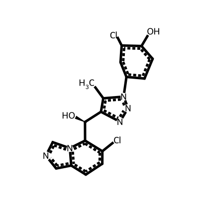 Cc1c([C@H](O)c2c(Cl)ccc3cncn23)nnn1-c1ccc(O)c(Cl)c1